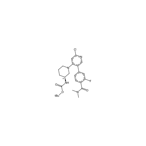 CN(C)C(=O)c1ccc(-c2cnc(Cl)cc2N2CCC[C@H](NC(=O)OC(C)(C)C)C2)cc1F